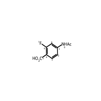 CC(=O)Nc1ccc(C(=O)O)c(F)c1